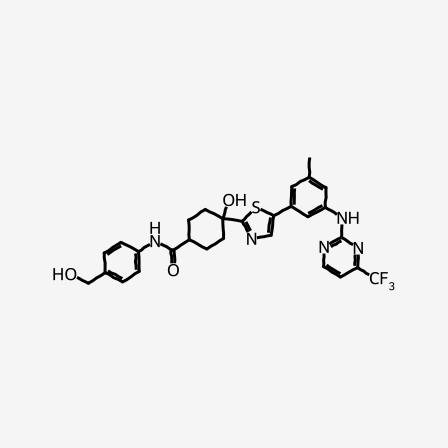 Cc1cc(Nc2nccc(C(F)(F)F)n2)cc(-c2cnc(C3(O)CCC(C(=O)Nc4ccc(CO)cc4)CC3)s2)c1